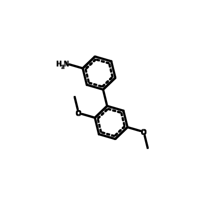 COc1ccc(OC)c(-c2cccc(N)c2)c1